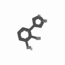 Cc1cccc(-c2cn[nH]c2)c1O